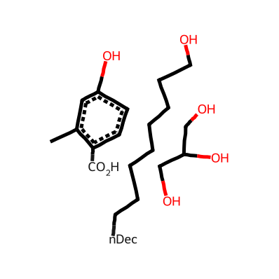 CCCCCCCCCCCCCCCCCCO.Cc1cc(O)ccc1C(=O)O.OCC(O)CO